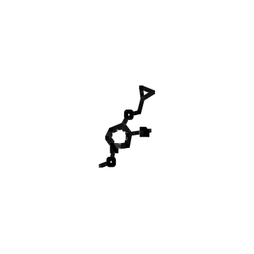 CO[n+]1ccc(OCC2CC2)c(Br)c1